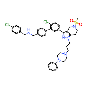 CS(=O)(=O)N1CCc2c(c(-c3ccc(Cl)c(-c4ccc(CNCc5ccc(Cl)cc5)cc4)c3)nn2CCCN2CCN(c3ccccc3)CC2)C1